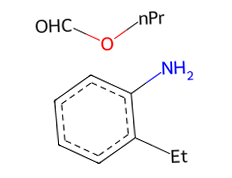 CCCOC=O.CCc1ccccc1N